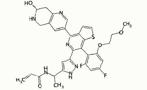 C=CC(=O)NC(C)c1cc(-c2nc(-c3cnc4c(c3)CNC(O)C4)c3ccsc3c2-c2c(F)cc(F)cc2OCCOC)n[nH]1